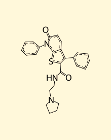 O=C(NCCN1CCCC1)c1sc2c(ccc(=O)n2-c2ccccc2)c1-c1ccccc1